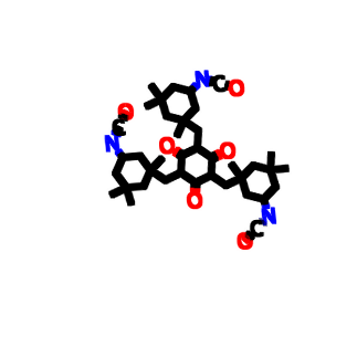 CC1(C)CC(N=C=O)CC(C)(CC2C(=O)C(CC3(C)CC(N=C=O)CC(C)(C)C3)C(=O)C(CC3(C)CC(N=C=O)CC(C)(C)C3)C2=O)C1